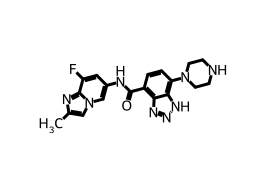 Cc1cn2cc(NC(=O)c3ccc(N4CCNCC4)c4[nH]nnc34)cc(F)c2n1